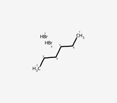 Br.Br.CCCCCC